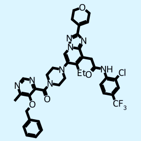 CCc1c(N2CCN(C(=O)c3ncnc(C)c3OCc3ccccc3)CC2)cn2nc(C3=CCOCC3)nc2c1CC(=O)Nc1ccc(C(F)(F)F)cc1Cl